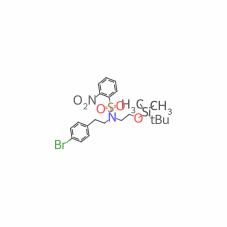 CC(C)(C)[Si](C)(C)OCCN(CCc1ccc(Br)cc1)S(=O)(=O)c1ccccc1[N+](=O)[O-]